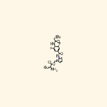 CCC(C)[C@H](N)C(=O)OCn1ccs/c1=N\C(=O)c1cc(F)c(NC(=O)CC(C)(C)C)c(F)c1